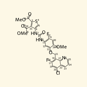 COC(=O)c1scc(NC(=O)Nc2cc(OCc3c(F)cc(Cl)c4cccnc34)c(OC)cc2F)c1C(=O)OC